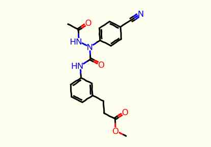 COC(=O)CCc1cccc(NC(=O)N(NC(C)=O)c2ccc(C#N)cc2)c1